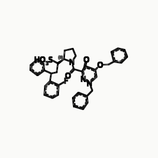 O=C(c1nn(Cc2ccccc2)cc(OCc2ccccc2)c1=O)N1CCC[C@@H]1C(CC(c1ccccc1)c1ccccc1F)S(=O)(=O)O